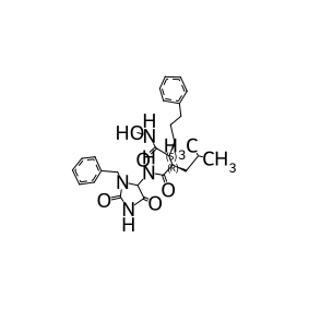 CC(C)C[C@@H](C(=O)NC1C(=O)NC(=O)N1Cc1ccccc1)[C@H](CCCc1ccccc1)C(=O)NO